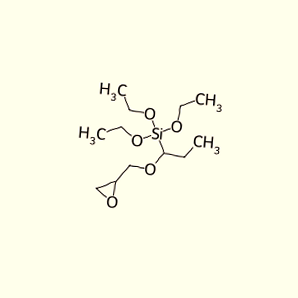 CCO[Si](OCC)(OCC)C(CC)OCC1CO1